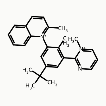 Cc1c(-c2nccc[n+]2C)cc(C(C)(C)C)cc1-[n+]1c(C)ccc2ccccc21